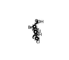 CCc1c(-c2ccc(Cl)cc2)[nH]c2c(Cl)cc(Oc3c(Br)cc(CCC(=O)O)cc3Br)cc12